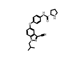 CC(C)Cn1nc(C#N)c2cc(Oc3ccc(NC(=O)[C@@H]4CCCN4)cc3)ccc21